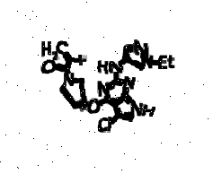 C=C(F)C(=O)N1CC[C@@H](Oc2nc(Nc3cnn(CC)c3)nc3[nH]cc(Cl)c23)C1